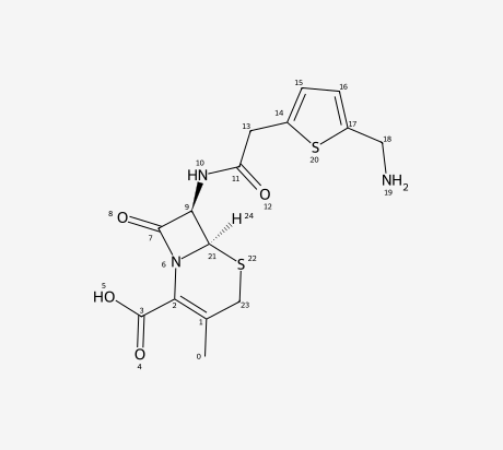 CC1=C(C(=O)O)N2C(=O)[C@@H](NC(=O)Cc3ccc(CN)s3)[C@H]2SC1